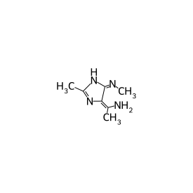 C/N=C1/NC(C)=N/C1=C(\C)N